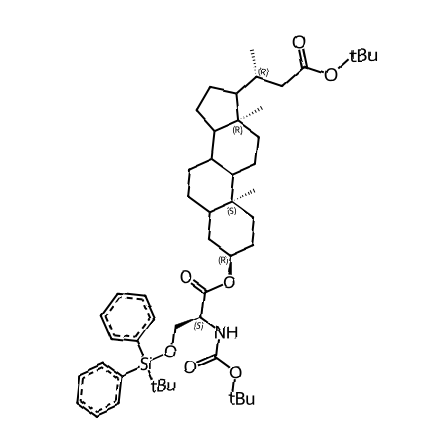 C[C@H](CC(=O)OC(C)(C)C)C1CCC2C3CCC4C[C@H](OC(=O)[C@H](CO[Si](c5ccccc5)(c5ccccc5)C(C)(C)C)NC(=O)OC(C)(C)C)CC[C@]4(C)C3CC[C@@]21C